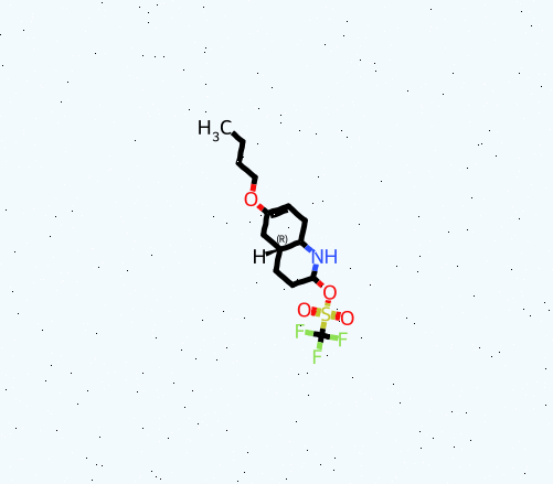 CCCCOC1=CCC2NC(OS(=O)(=O)C(F)(F)F)CC[C@@H]2C1